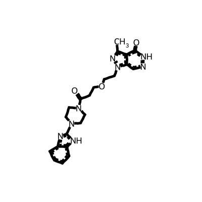 Cc1nn(CCOCCC(=O)N2CCN(c3nc4ccccc4[nH]3)CC2)c2cn[nH]c(=O)c12